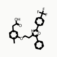 Cc1ccc(CC(=O)O)cc1OCCc1nc(-c2ccc(C(F)(F)F)cc2)oc1-c1ccccc1